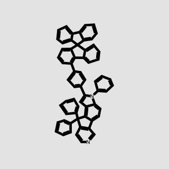 c1ccc(-n2c(-c3ccc(-c4cccc5c4-c4ccccc4C54c5ccccc5-c5ccccc54)cc3)cc3c4c(ccc32)-c2cnccc2C4(c2ccccc2)c2ccccc2)cc1